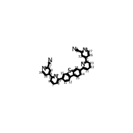 N#Cc1cc(-c2cccc(-c3ccc4c(c3)sc3cc(-c5cccc(-c6ccnc(C#N)c6)n5)ccc34)n2)ccn1